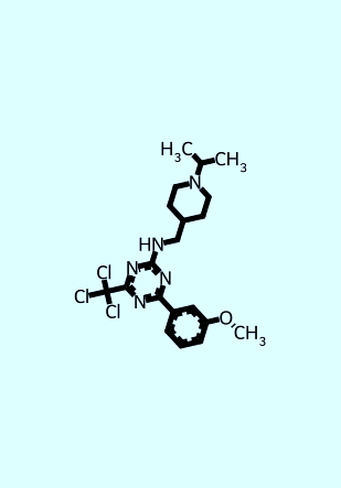 COc1cccc(-c2nc(NCC3CCN(C(C)C)CC3)nc(C(Cl)(Cl)Cl)n2)c1